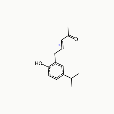 CC(=O)/C=C/Cc1cc(C(C)C)ccc1O